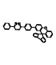 c1ccc(-c2ccc(-c3ccc(-c4ccc5c(c4)C4(c6ccccc6O5)c5ccccc5-c5ccccc54)cc3)nn2)cc1